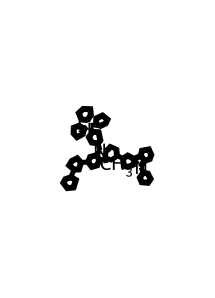 CC12CC(c3ccc4c(c3)c3ccccc3n4-c3ccccc3)=CC=C1N(c1ccc([Si](c3ccccc3)(c3ccccc3)c3ccccc3)cc1)c1cc(-c3cccc(-c4ccccc4)c3)ccc12